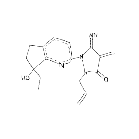 C=CCN1C(=O)C(=C)C(=N)N1c1ccc2c(n1)C(O)(CC)CC2